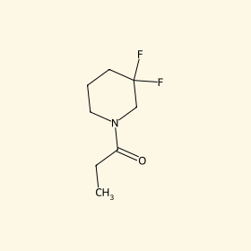 CCC(=O)N1CCCC(F)(F)C1